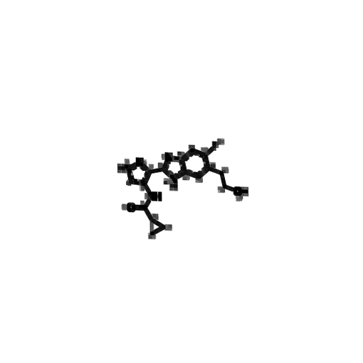 O=C(Nc1c[nH]nc1-c1nc2cc(F)c(CCO)cc2[nH]1)C1CC1